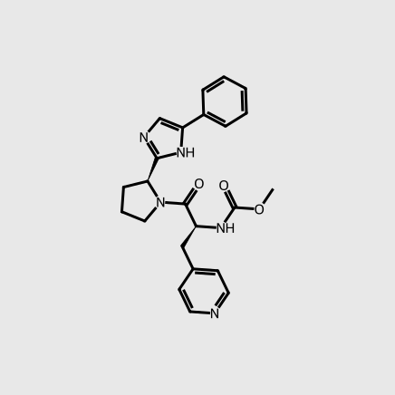 COC(=O)N[C@@H](Cc1ccncc1)C(=O)N1CCC[C@H]1c1ncc(-c2ccccc2)[nH]1